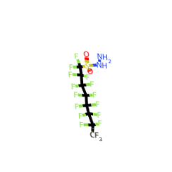 NNS(=O)(=O)C(F)(F)C(F)(F)C(F)(F)C(F)(F)C(F)(F)C(F)(F)C(F)(F)C(F)(F)F